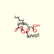 CCCCCCCC(=O)O.CCCCCCCC(=O)OOC(=O)CCCCCCC